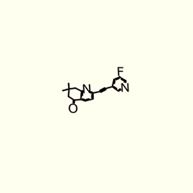 CC1(C)CC(=O)c2ccc(C#Cc3cncc(F)c3)nc2C1